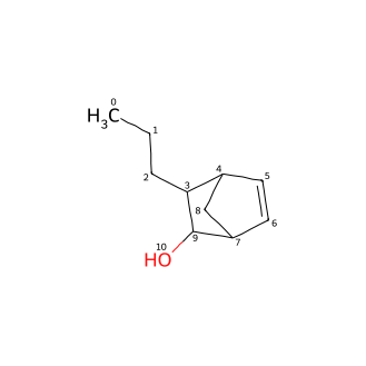 CCCC1C2C=CC(C2)C1O